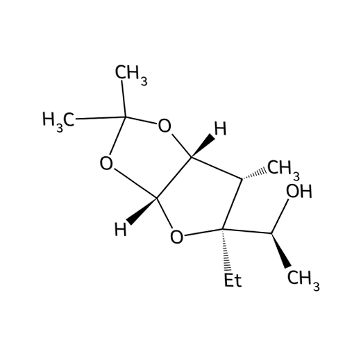 CC[C@]1([C@H](C)O)O[C@@H]2OC(C)(C)O[C@@H]2[C@@H]1C